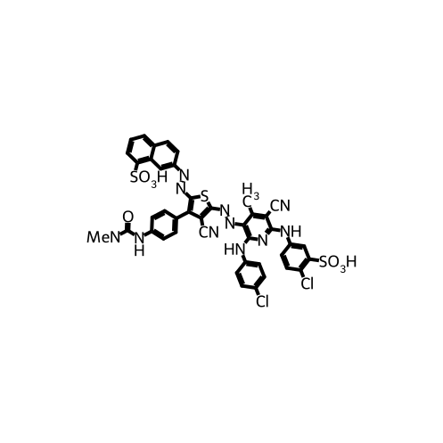 CNC(=O)Nc1ccc(-c2c(N=Nc3ccc4cccc(S(=O)(=O)O)c4c3)sc(N=Nc3c(Nc4ccc(Cl)cc4)nc(Nc4ccc(Cl)c(S(=O)(=O)O)c4)c(C#N)c3C)c2C#N)cc1